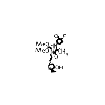 COC(CN(CCCN1CCC2(CC2)[C@H](O)C1)C(=O)C(C)Nc1ccc(F)c(Cl)c1)OC